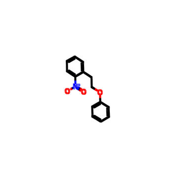 O=[N+]([O-])c1ccccc1CCOc1ccccc1